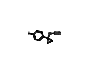 O=COC1(c2ccc(I)cc2)CC1